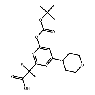 CC(C)(C)OC(=O)Oc1cc(N2CCOCC2)nc(C(F)(F)C(=O)O)n1